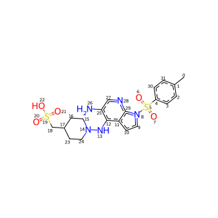 Cc1ccc(S(=O)(=O)n2ccc3c(NN4CCC(CS(=O)(=O)O)CC4)c(N)cnc32)cc1